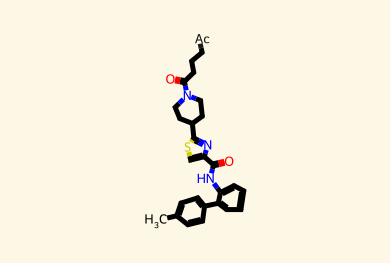 CC(=O)CCCC(=O)N1CCC(c2nc(C(=O)Nc3ccccc3-c3ccc(C)cc3)cs2)CC1